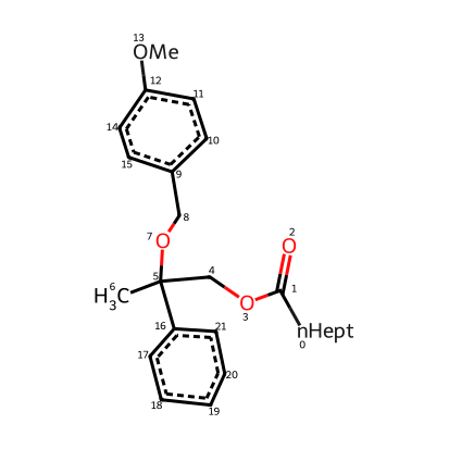 CCCCCCCC(=O)OCC(C)(OCc1ccc(OC)cc1)c1ccccc1